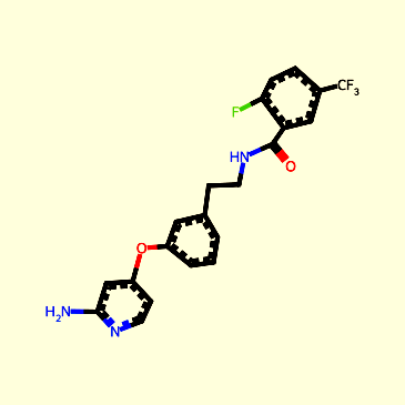 Nc1cc(Oc2cccc(CCNC(=O)c3cc(C(F)(F)F)ccc3F)c2)ccn1